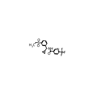 CCS(=O)(=O)c1cccc([C@H](NC(=O)c2ccc(C(F)(F)F)nc2)C2CC2)c1